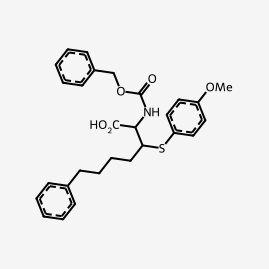 COc1ccc(SC(CCCCc2ccccc2)C(NC(=O)OCc2ccccc2)C(=O)O)cc1